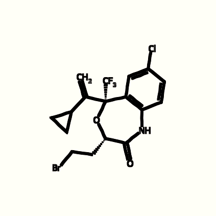 C=C(C1CC1)[C@]1(C(F)(F)F)O[C@@H](CCBr)C(=O)Nc2ccc(Cl)cc21